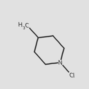 CC1CCN(Cl)CC1